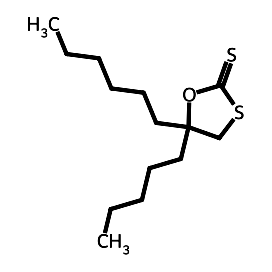 CCCCCCC1(CCCCC)CSC(=S)O1